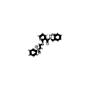 O=C(NCc1ccccc1F)c1cccnc1SCCS(=O)(=O)c1ccccc1